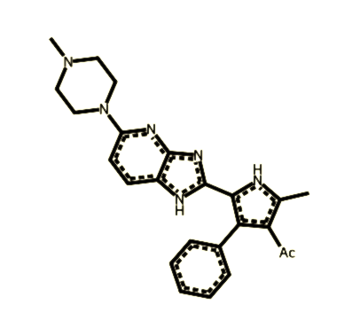 CC(=O)c1c(C)[nH]c(-c2nc3nc(N4CCN(C)CC4)ccc3[nH]2)c1-c1ccccc1